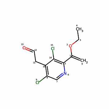 C=C(OCC)c1ncc(Cl)c(CC=O)c1Cl